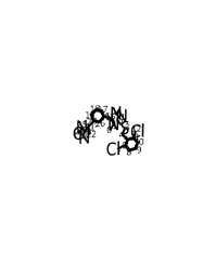 Cn1c(SCc2c(Cl)cccc2Cl)nnc1-c1cccc(-c2cnon2)c1